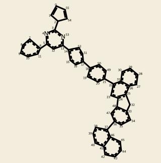 C1=CC(c2nc(-c3ccccc3)cc(-c3ccc(-c4ccc(-c5cc6c(c7ccccc57)Cc5ccc(-c7cccc8ccccc78)cc5-6)cc4)cc3)n2)C=C1